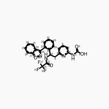 O=C(O)Nc1cccc(CC(NC(=O)C(F)(F)F)c2ccccc2-c2noc3ccccc23)n1